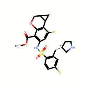 COC(=O)c1c(NS(=O)(=O)c2ccc(F)cc2C[C@@H]2CCNC2)cc(F)c2c1OCC1CC21